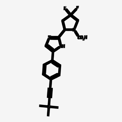 C[Si](C)(C)C#Cc1ccc(-c2cnc(C3CC(F)(F)CN3C(=O)O)[nH]2)cc1